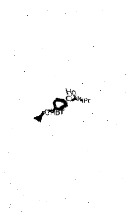 Br.CC(C)NCC(O)COc1ccc(CCOCC2CC2)cc1